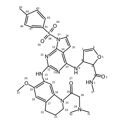 CNC(=O)C1OC=CC1Nc1nc(Nc2cc3c(cc2OC)CCCN3C(=O)CN(C)C)nc2c1ccn2S(=O)(=O)c1ccc(C)cc1